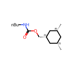 CCCCNC(=O)OC[C@@H]1C[C@H](C)C[C@H](C)C1